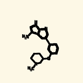 CN1CCCC(Oc2cccc(-c3cnc4[nH]cc(N)c4c3)c2)C1